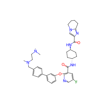 CN(C)CCN(C)Cc1ccc(-c2cccc(Oc3ncc(F)cc3C(=O)N[C@H]3CC[C@H](NC(=O)c4cn5c(n4)CCCC5)CC3)c2)cc1